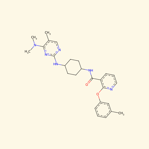 Cc1cccc(Oc2ncccc2C(=O)NC2CCC(Nc3ncc(C)c(N(C)C)n3)CC2)c1